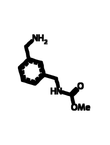 COC(=O)NCc1cccc(CN)c1